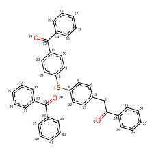 O=C(Cc1ccc(Sc2ccc(C(=O)c3ccccc3)cc2)cc1)c1ccccc1.O=C(c1ccccc1)c1ccccc1